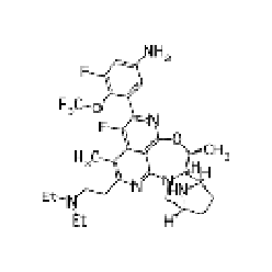 CCN(CC)CCc1nc2c3c(nc(-c4cc(N)cc(F)c4OC(F)(F)F)c(F)c3c1C)O[C@@H](C)[C@@H]1[C@@H]3CC[C@H](CN21)N3